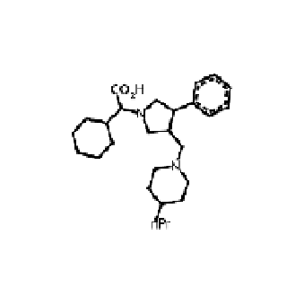 CCCC1CCN(CC2CN(C(C(=O)O)C3CCCCC3)CC2c2ccccc2)CC1